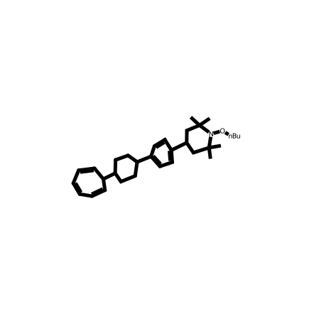 CCCCON1C(C)(C)CC(c2ccc(C3CCC(C4C=CC=CC=C4)CC3)cc2)CC1(C)C